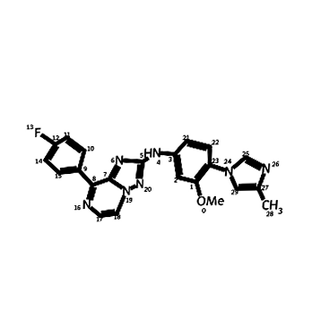 COc1cc(Nc2nc3c(-c4ccc(F)cc4)nccn3n2)ccc1-n1cnc(C)c1